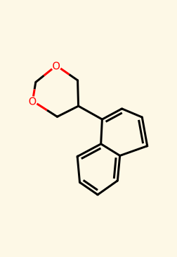 c1ccc2c(C3COCOC3)cccc2c1